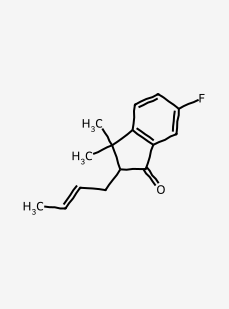 CC=CCC1C(=O)c2cc(F)ccc2C1(C)C